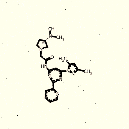 Cc1cc(C)n(-c2cc(NC(=O)CN3CC[C@H](N(C)C)C3)nc(-c3ccccn3)n2)n1